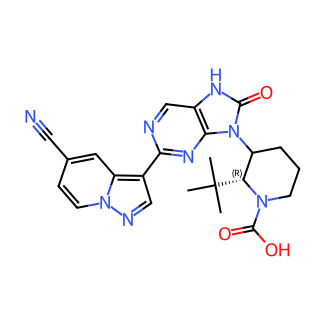 CC(C)(C)[C@@H]1C(n2c(=O)[nH]c3cnc(-c4cnn5ccc(C#N)cc45)nc32)CCCN1C(=O)O